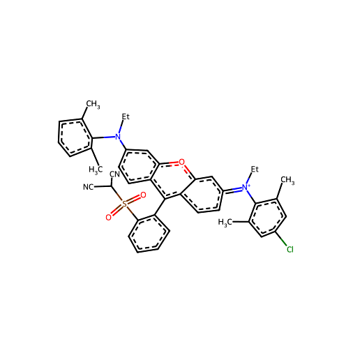 CCN(c1ccc2c(-c3ccccc3S(=O)(=O)C(C#N)C#N)c3cc/c(=[N+](/CC)c4c(C)cc(Cl)cc4C)cc-3oc2c1)c1c(C)cccc1C